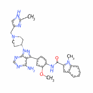 COc1cc(-c2nn(C3CCN(Cc4c[nH]c(C)n4)CC3)c3ncnc(N)c23)ccc1NC(=O)c1cc2ccccc2n1C